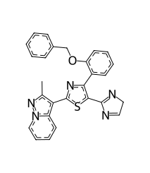 Cc1nn2ccccc2c1-c1nc(-c2ccccc2OCc2ccccc2)c(C2=NCC=N2)s1